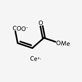 COC(=O)/C=C\C(=O)[O-].[Ce+]